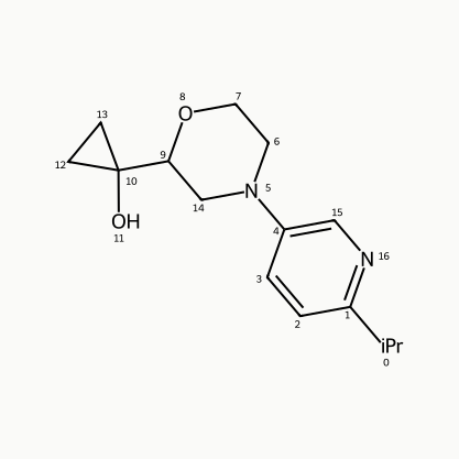 CC(C)c1ccc(N2CCOC(C3(O)CC3)C2)cn1